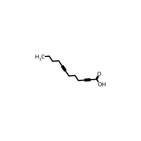 CCCCC#CCCCC#CC(=O)O